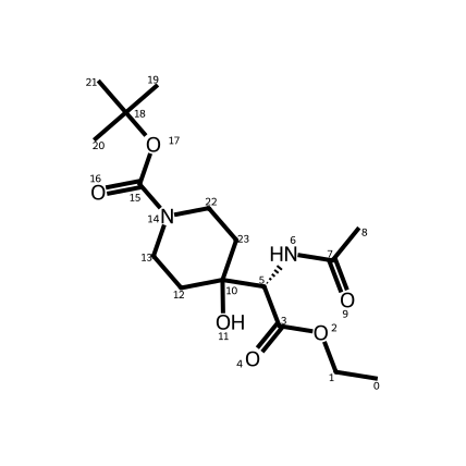 CCOC(=O)[C@@H](NC(C)=O)C1(O)CCN(C(=O)OC(C)(C)C)CC1